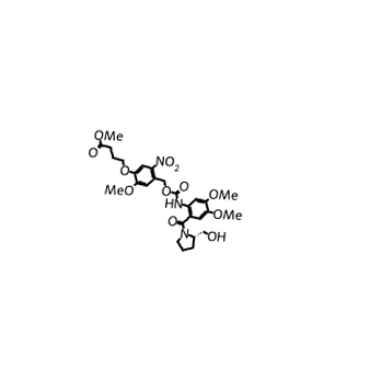 COC(=O)CCCOc1cc([N+](=O)[O-])c(COC(=O)Nc2cc(OC)c(OC)cc2C(=O)N2CCC[C@H]2CO)cc1OC